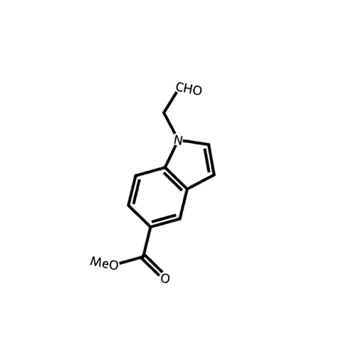 COC(=O)c1ccc2c(ccn2CC=O)c1